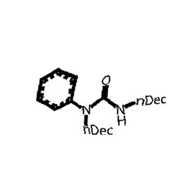 CCCCCCCCCCNC(=O)N(CCCCCCCCCC)c1ccccc1